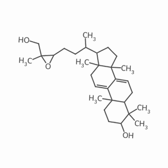 CC(CCC1OC1(C)CO)C1CCC2(C)C3=CCC4C(C)(CCC(O)C4(C)C)C3=CCC12C